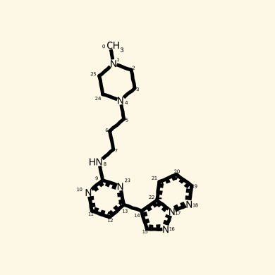 CN1CCN(CCCNc2nccc(-c3cnn4ncccc34)n2)CC1